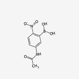 CC(=O)Nc1ccc([N+](=O)[O-])c(B(O)O)c1